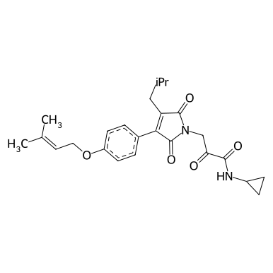 CC(C)=CCOc1ccc(C2=C(CC(C)C)C(=O)N(CC(=O)C(=O)NC3CC3)C2=O)cc1